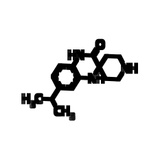 CC(C)c1ccc2c(c1)NC1(CCNCC1)C(=O)N2